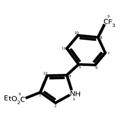 CCOC(=O)c1c[nH]c(-c2ccc(C(F)(F)F)cc2)c1